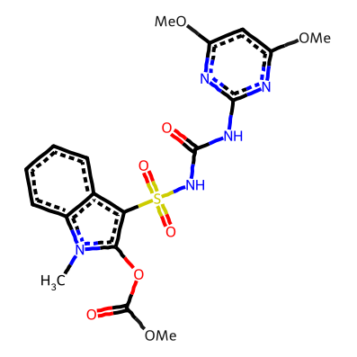 COC(=O)Oc1c(S(=O)(=O)NC(=O)Nc2nc(OC)cc(OC)n2)c2ccccc2n1C